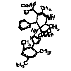 COC(=O)C1=C(C)NC(C)C(Nc2nc(-c3c(C)cc(C)cc3C)cs2)(C(=O)OC)C1c1ccccc1